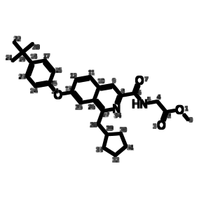 COC(=O)CNC(=O)c1cc2ccc(Oc3ccc(C(C)(C)C)cc3)cc2c(CC2CCCC2)n1